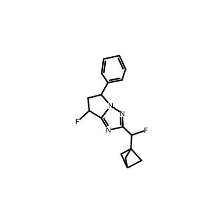 FC1CC(c2ccccc2)n2nc(C(F)C34CC(C3)C4)nc21